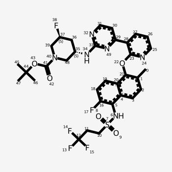 Cc1ccc2c(NS(=O)(=O)CCC(F)(F)F)c(F)ccc2c1Oc1ncccc1-c1ccnc(N[C@H]2C[C@H](F)CN(C(=O)OC(C)(C)C)C2)n1